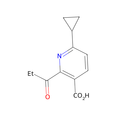 CCC(=O)c1nc(C2CC2)ccc1C(=O)O